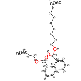 CCCCCCCCCCCCCCCCCCOC(=O)c1cccc2cccc(C(=O)OCCCCCCCCCCCC)c12